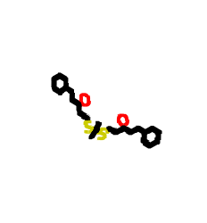 CC(C)(SCCC(=O)CCC1CCCCC1)SCCC(=O)CCC1CCCCC1